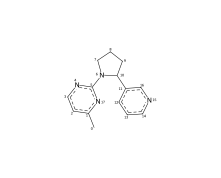 Cc1ccnc(N2CCCC2c2cccnc2)n1